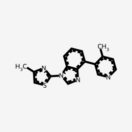 Cc1csc(-n2cnc3c(-c4cnccc4C)cccc32)n1